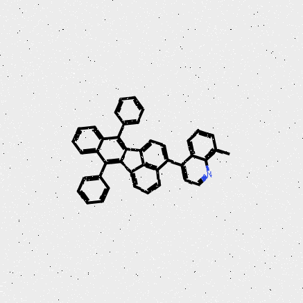 Cc1cccc2c(-c3ccc4c5c(cccc35)-c3c-4c(-c4ccccc4)c4ccccc4c3-c3ccccc3)ccnc12